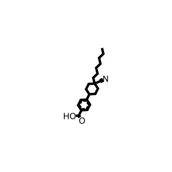 CCCCCCCC1(C#N)CCC(c2ccc(C(=O)O)cc2)CC1